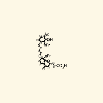 CCCc1c(SCCCOc2ccc3c(=O)cc(CCC(=O)O)oc3c2CCC)ccc(C(C)=O)c1O